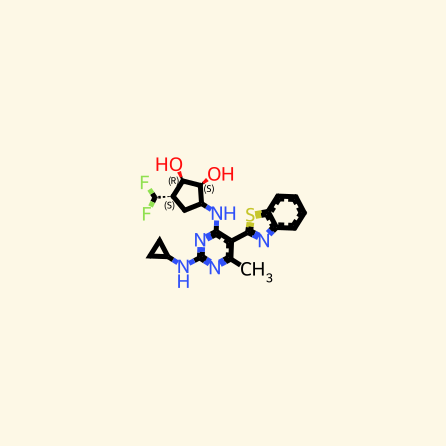 Cc1nc(NC2CC2)nc(NC2C[C@H](C(F)F)[C@@H](O)[C@H]2O)c1-c1nc2ccccc2s1